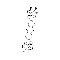 O=S(=O)(Oc1ccc2cc3cc(OS(=O)(=O)C(F)(F)F)ccc3cc2c1)C(F)(F)F